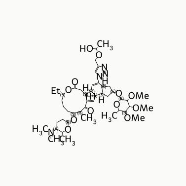 CC[C@H]1CCC[C@H](O[C@H]2CC[C@H](N(C)C)C(C)O2)[C@@H](C)C(=O)C2=C[C@@H]3[C@@H](C=C(n4cc(COC(C)O)nn4)[C@@H]4C[C@@H](O[C@@H]5OC(C)[C@H](OC)C(OC)C5OC)C[C@@H]34)[C@@H]2CC(=O)O1